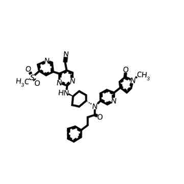 Cn1ccc(-c2ccc(N(C(=O)CCc3ccccc3)[C@H]3CC[C@H](Nc4ncc(C#N)c(-c5cncc(S(C)(=O)=O)c5)n4)CC3)cn2)cc1=O